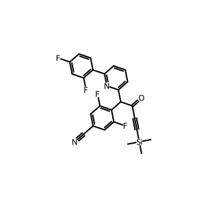 C[Si](C)(C)C#CC(=O)C(c1cccc(-c2ccc(F)cc2F)n1)c1c(F)cc(C#N)cc1F